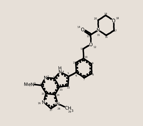 CNc1nc2[nH]c(-c3cccc(COC(=O)N4CCOCC4)c3)cc2c2c1ncn2C